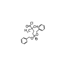 CC(C)(CCP(=O)(OCc1ccccc1)OCc1ccccc1)C(=O)Cl